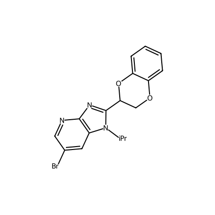 CC(C)n1c(C2COc3ccccc3O2)nc2ncc(Br)cc21